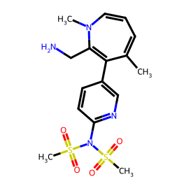 CC1=CC=CN(C)C(CN)=C1c1ccc(N(S(C)(=O)=O)S(C)(=O)=O)nc1